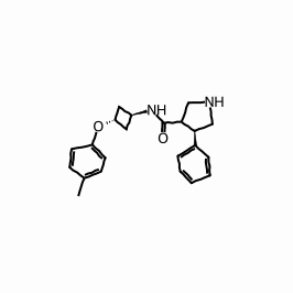 Cc1ccc(O[C@H]2C[C@H](NC(=O)C3CNC[C@H]3c3ccccc3)C2)cc1